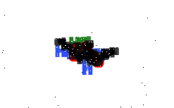 CCCCNC(=O)OC(C)NN(NC(C)OC(=O)NCCCC)C(C)=O.Cl